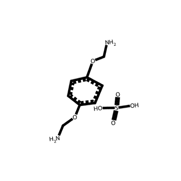 NCOc1ccc(OCN)cc1.O=S(=O)(O)O